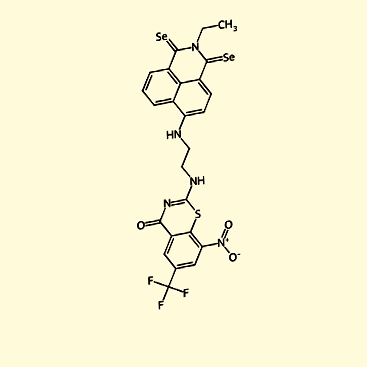 CCN1C(=[Se])c2cccc3c(NCCNc4nc(=O)c5cc(C(F)(F)F)cc([N+](=O)[O-])c5s4)ccc(c23)C1=[Se]